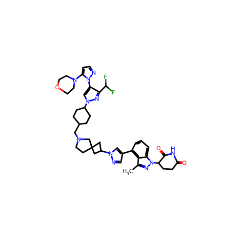 Cc1nn(C2CCC(=O)NC2=O)c2cccc(-c3cnn(C4CC5(CCN(CC6CCC(n7cc(-n8nccc8N8CCOCC8)c(C(F)F)n7)CC6)C5)C4)c3)c12